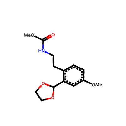 COC(=O)NCCc1ccc(OC)cc1C1OCCO1